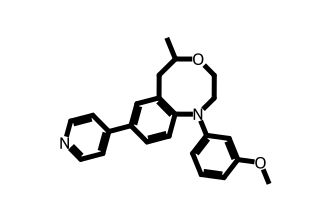 COc1cccc(N2CCOC(C)Cc3cc(-c4ccncc4)ccc32)c1